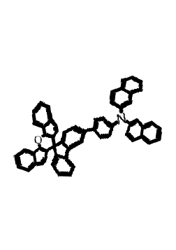 c1ccc2c(c1)-c1cc(-c3ccc(N(c4ccc5ccccc5c4)c4ccc5ccccc5c4)cc3)ccc1C21c2ccc3ccccc3c2Oc2c1ccc1ccccc21